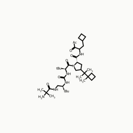 CC(=O)C(=O)C(CC1CCC1)NC(=O)[C@@H]1CC(C(C)(C)C2(C)CCC2)CN1C(=O)[C@@H](NC(=O)N[C@H](CNC(=O)C(C)(C)N)C(C)(C)C)C(C)(C)C